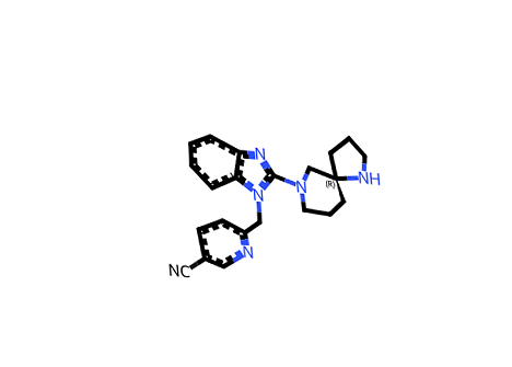 N#Cc1ccc(Cn2c(N3CCC[C@]4(CCCN4)C3)nc3ccccc32)nc1